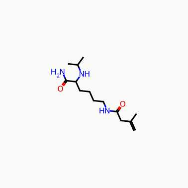 C=C(C)CC(=O)NCCCCC(NC(C)C)C(N)=O